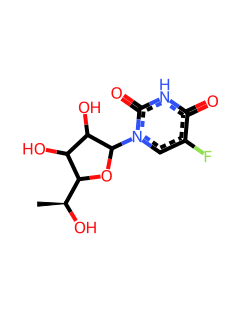 C[C@H](O)C1OC(n2cc(F)c(=O)[nH]c2=O)C(O)C1O